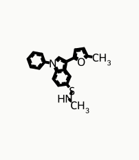 CNSc1ccc2c(c1)c(-c1ccc(C)o1)cn2-c1ccccc1